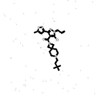 CCCn1nc(-c2cc(C)on2)c(C(=O)N2CC3(CCN(CCC(C)(C)C)CC3)C2)c1Cl